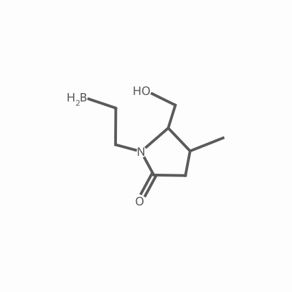 BCCN1C(=O)CC(C)C1CO